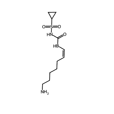 NCCCCC/C=C\BC(=O)NS(=O)(=O)C1CC1